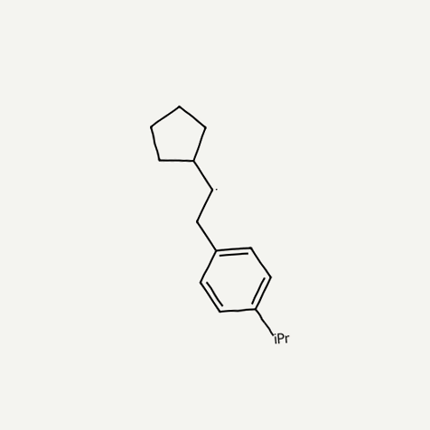 CC(C)c1ccc(C[CH]C2CCCC2)cc1